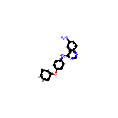 Nc1ccc2ncnc(Nc3ccc(Oc4ccccc4)cc3)c2c1